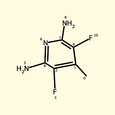 Cc1c(F)c(N)nc(N)c1F